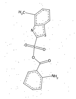 Cc1cccc2sc(S(=O)(=O)OC(=O)c3ccccc3N)nc12